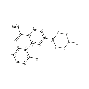 CNC(=O)c1ccc(N2CCN(C)CC2)cc1-c1ccccc1C